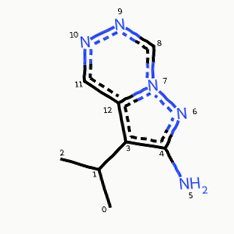 CC(C)c1c(N)nn2cnncc12